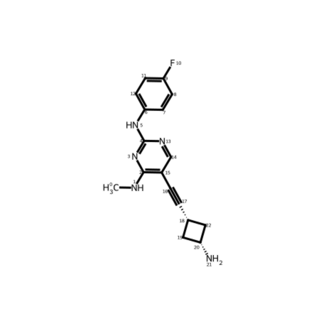 CNc1nc(Nc2ccc(F)cc2)ncc1C#C[C@H]1C[C@@H](N)C1